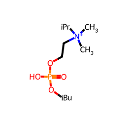 CCC(C)OP(=O)(O)OCC[N+](C)(C)C(C)C